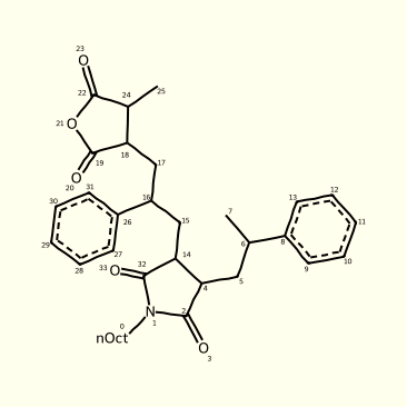 CCCCCCCCN1C(=O)C(CC(C)c2ccccc2)C(CC(CC2C(=O)OC(=O)C2C)c2ccccc2)C1=O